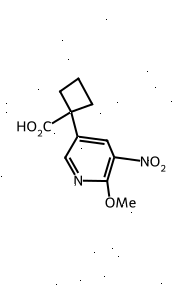 COc1ncc(C2(C(=O)O)CCC2)cc1[N+](=O)[O-]